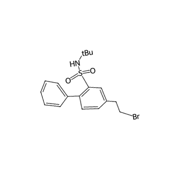 CC(C)(C)NS(=O)(=O)c1cc(CCBr)ccc1-c1ccccc1